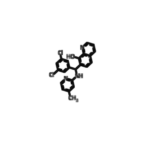 Cc1ccnc(NC(c2cc(Cl)cc(Cl)c2)c2ccc3cccnc3c2O)c1